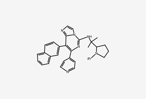 CC(C)N1CCCC1C(C)(C)Nc1nc(-c2ccncc2)c(-c2ccc3ccccc3c2)c2nccn12